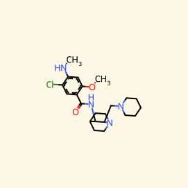 CNc1cc(OC)c(C(=O)NC2C3CCN(CC3)C2CN2CCCCC2)cc1Cl